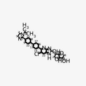 CC(C)N1CCN=C1c1ccc(-c2ccc(-c3nc4nc(O[C@@H]5CO[C@H]6[C@@H]5OC[C@H]6O)[nH]c4cc3Cl)cc2)cc1